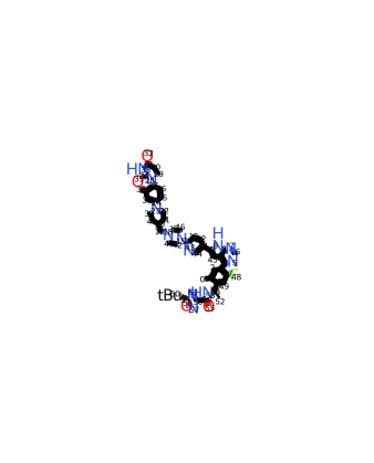 Cc1cc(-c2ncnc3[nH]c(-c4ccc(N5CCN(CC6CCN(c7ccc(N8CCC(=O)NC8=O)c(C)c7)CC6)CC5)nc4)cc23)c(F)cc1[C@@H](C)NC(=O)c1noc(C(C)(C)C)n1